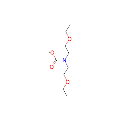 CCOCCN(CCOCC)C([O])=O